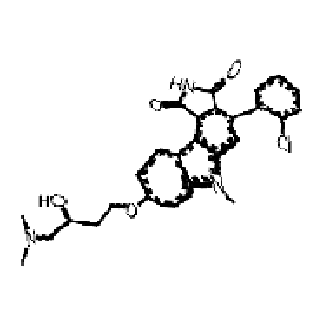 CN(C)CC(O)CCOc1ccc2c3c4c(c(-c5ccccc5Cl)cc3n(C)c2c1)C(=O)NC4=O